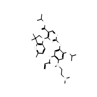 C=CC(=O)Nc1cc(Nc2ncc(C(=O)OC(C)C)c(N3CC(C)(C)c4nc(C)ccc43)n2)c(OC(C)C)cc1N(C)CCN(C)C